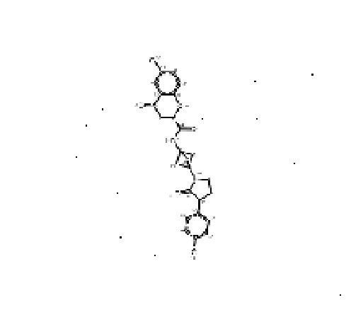 O=C1C[C@H](C(=O)NC23CC(N4CCC(c5ccc(Cl)cc5)C4=O)(C2)C3)Oc2ccc(Cl)cc21